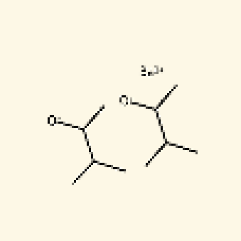 CC(C)C(C)[O-].CC(C)C(C)[O-].[Ba+2]